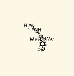 CCOc1ccc([Si](OC)(OC)OCCCNCCN)cc1